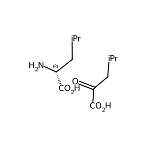 CC(C)CC(=O)C(=O)O.CC(C)C[C@@H](N)C(=O)O